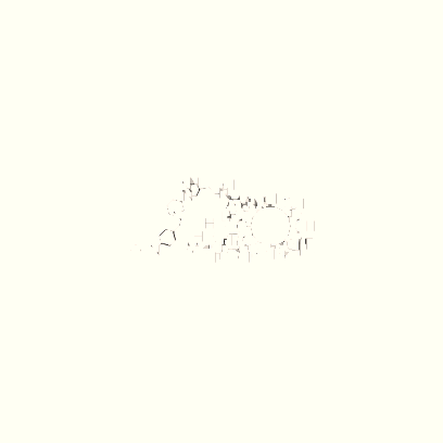 CC[C@H]1OC(=O)[C@H](C)[C@@H](O[C@H]2C[C@@](C)(OC)[C@@H](O)[C@H](C)O2)[C@H](C)[C@@H](O[C@H]2C[C@@H](N(C)CCc3cn([C@H]4CCCN(Cc5ccc([N+](=O)[O-])cc5)C4)nn3)C[C@@H](C)O2)[C@](C)(OC)C[C@@H](C)C(=O)[C@H](C)[C@@H](O)[C@]1(C)O